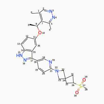 Cc1cnnc(C)c1[C@H](C)Oc1ccc2[nH]nc(-c3ccc(N4CC5(CC(S(C)(=O)=O)C5)C4)nc3)c2c1